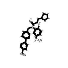 CCCCc1ccc(-c2ccc(CN(C(=O)CCC3CCCC3)c3cc(C(=O)O)ccc3F)cc2)cc1